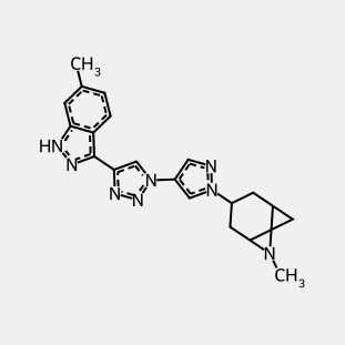 Cc1ccc2c(-c3cn(-c4cnn(C5CC6CC67C(C5)N7C)c4)nn3)n[nH]c2c1